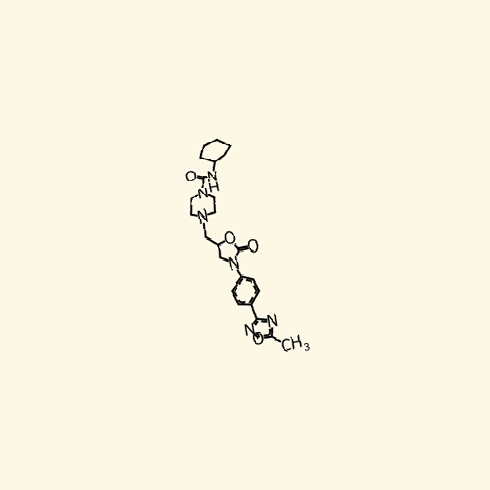 Cc1nc(-c2ccc(N3CC(CN4CCN(C(=O)NC5CCCCC5)CC4)OC3=O)cc2)no1